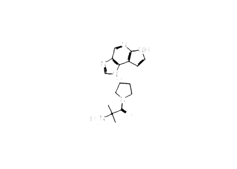 CC(C)(N)C(=O)N1CC[C@@H](n2cnc3cnc4[nH]ccc4c32)C1